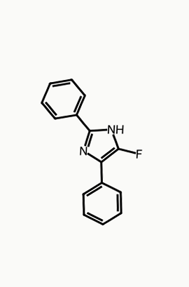 Fc1[nH]c(-c2ccccc2)nc1-c1ccccc1